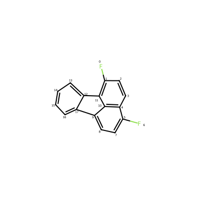 Fc1ccc2c(F)ccc3c2c1-c1ccccc1-3